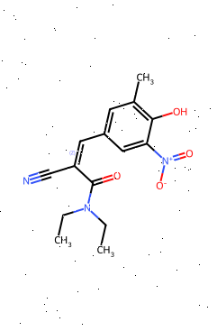 CCN(CC)C(=O)/C(C#N)=C\c1cc(C)c(O)c([N+](=O)[O-])c1